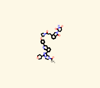 CC(=O)N1CCn2c(C3CCOCC3)nc(-c3cccc4cc(-c5ccc(O[C@@H]6CCN(C(=O)CCc7cccc8c7CN(C7CCC(=O)NC7=O)C8=O)C6)cc5)ncc34)c2C1